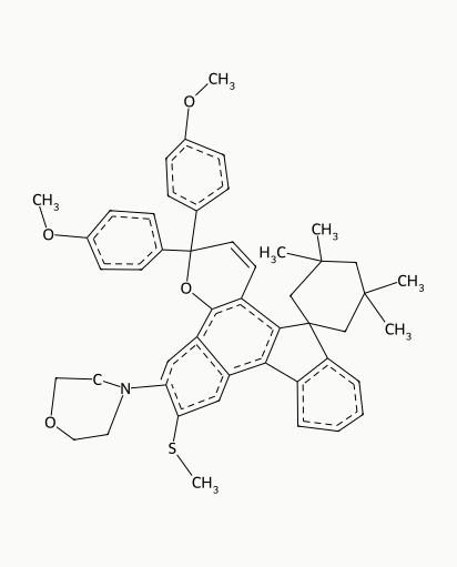 COc1ccc(C2(c3ccc(OC)cc3)C=Cc3c4c(c5cc(SC)c(N6CCOCC6)cc5c3O2)-c2ccccc2C42CC(C)(C)CC(C)(C)C2)cc1